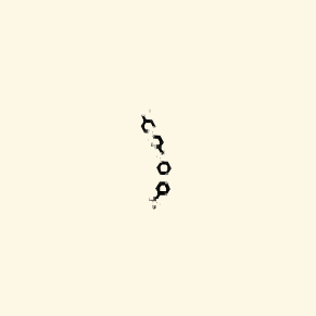 O=C(NC1CCC(Oc2ccc(-c3ncon3)c(Cl)c2)CC1)c1ccc(N2CCC(CO)CC2)nn1